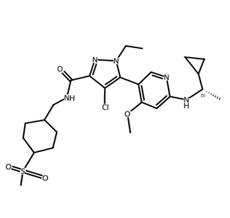 CCn1nc(C(=O)NCC2CCC(S(C)(=O)=O)CC2)c(Cl)c1-c1cnc(N[C@@H](C)C2CC2)cc1OC